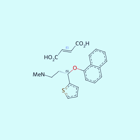 CNCC[C@H](Oc1cccc2ccccc12)c1cccs1.O=C(O)/C=C/C(=O)O